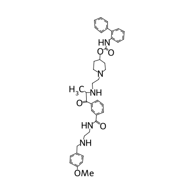 COc1ccc(CNCCNC(=O)c2cccc(C(=O)C(C)NCCN3CCC(OC(=O)Nc4ccccc4-c4ccccc4)CC3)c2)cc1